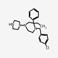 CCC1(c2ccccc2)CN(N2CCNCC2)CCN1Cc1ccc(Cl)cc1